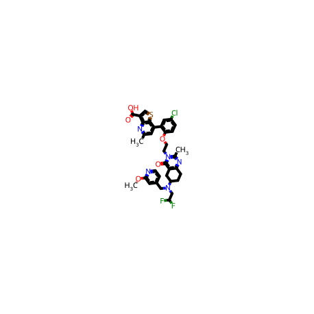 COc1cc(CN(CC(F)F)C2CCc3nc(C)n(CCOc4ccc(Cl)cc4-c4cc(C)nc5c(C(=O)O)csc45)c(=O)c3C2)ccn1